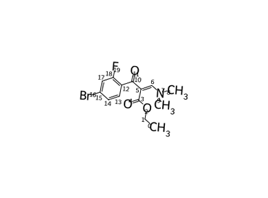 CCOC(=O)C(=CN(C)C)C(=O)c1ccc(Br)cc1F